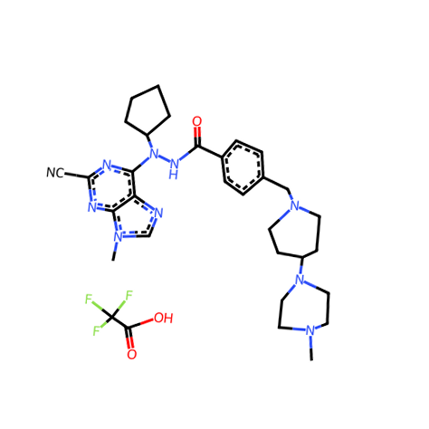 CN1CCN(C2CCN(Cc3ccc(C(=O)NN(c4nc(C#N)nc5c4ncn5C)C4CCCC4)cc3)CC2)CC1.O=C(O)C(F)(F)F